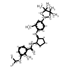 Cc1cc(N2OC(C)(C)C(C)(C)O2)ccc1/N=C1\CCCC1NC(=O)c1cccc(OC(F)F)c1C